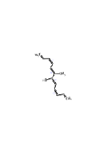 C=C\C=C/C=C(O)/C(C)=C/C=C\C=C